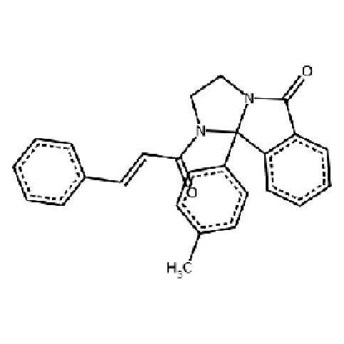 Cc1ccc(C23c4ccccc4C(=O)N2CCN3C(=O)C=Cc2ccccc2)cc1